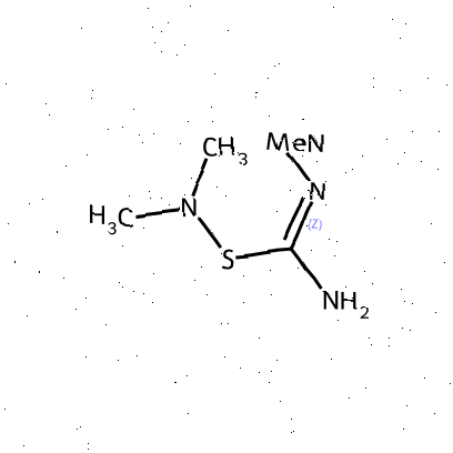 CN/N=C(/N)SN(C)C